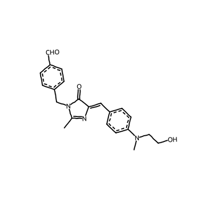 CC1=N/C(=C\c2ccc(N(C)CCO)cc2)C(=O)N1Cc1ccc(C=O)cc1